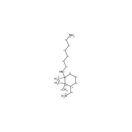 CC1(NCCCCCCN)CCCC(CN)C1(C)C